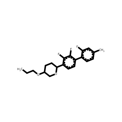 CCCOC1CCC(c2ccc(-c3ccc(C)cc3F)c(F)c2F)OC1